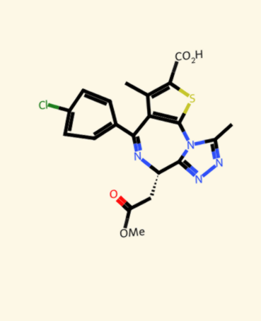 COC(=O)C[C@@H]1N=C(c2ccc(Cl)cc2)c2c(sc(C(=O)O)c2C)-n2c(C)nnc21